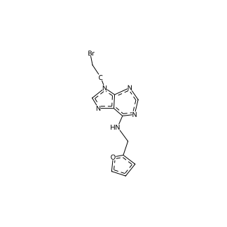 BrCCn1cnc2c(NCc3ccco3)ncnc21